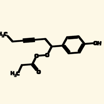 CCC#CCC(OOC(=O)CC)c1ccc(O)cc1